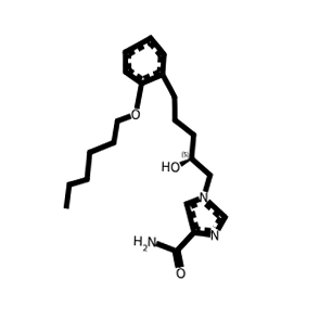 CCCCCCOc1ccccc1CCC[C@H](O)Cn1cnc(C(N)=O)c1